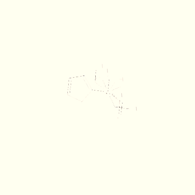 C[CH2][W]([CH3])([CH3])([CH3])([CH3])([CH3])([CH2]C)([N]=O)[C]1=CC=CC1